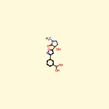 CN1CC[C@@](O)(c2cc(-c3cccc(B(O)O)c3)no2)C1=O